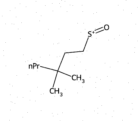 CCCC(C)(C)CC[S+]=O